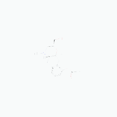 CCCN1C[C@@H](CO)O[C@H]2Cc3c(cccc3OC(=O)C(F)(F)F)C[C@@H]21